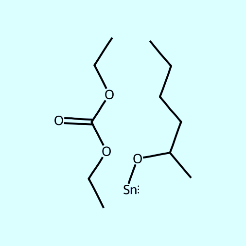 CCCCC(C)[O][Sn].CCOC(=O)OCC